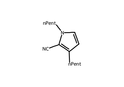 CCCCCc1ccn(CCCCC)c1C#N